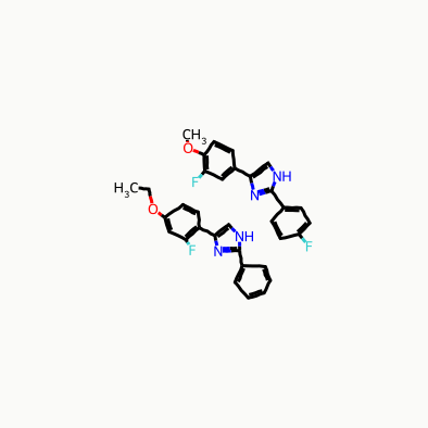 CCOc1ccc(-c2c[nH]c(-c3ccccc3)n2)c(F)c1.COc1ccc(-c2c[nH]c(-c3ccc(F)cc3)n2)cc1F